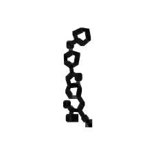 N#CC(=Cc1ccc2cc(-c3ccc(Oc4ccccc4)cc3)oc2c1)C(=O)O